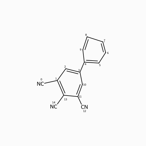 N#Cc1cc(-c2cc[c]cc2)cc(C#N)c1C#N